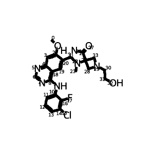 COc1cc2ncnc(Nc3cccc(Cl)c3F)c2cc1CN(C)C1(C(N)=O)CN(CCO)C1